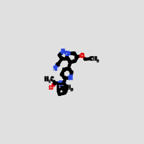 CCOc1cc(-c2ccc(C3CC4CC(C3)C4(C)NC(C)=O)nc2)c2c(C#N)cnn2c1